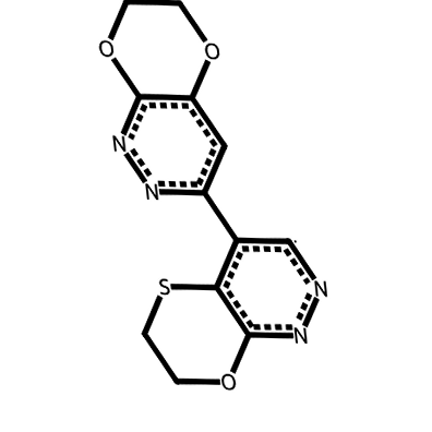 [c]1nnc2c(c1-c1cc3c(nn1)OCCO3)SCCO2